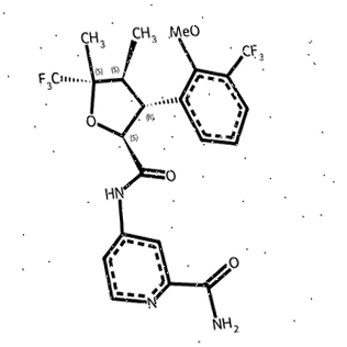 COc1c([C@@H]2[C@@H](C(=O)Nc3ccnc(C(N)=O)c3)O[C@](C)(C(F)(F)F)[C@H]2C)cccc1C(F)(F)F